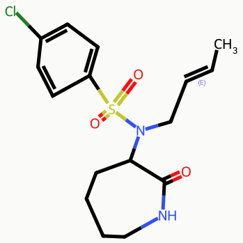 C/C=C/CN(C1CCCCNC1=O)S(=O)(=O)c1ccc(Cl)cc1